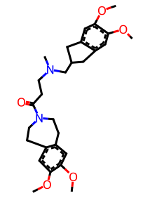 COc1cc2c(cc1OC)CCN(C(=O)CCN(C)CC1Cc3cc(OC)c(OC)cc3C1)CC2